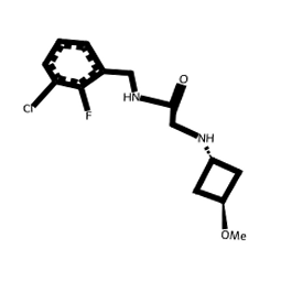 CO[C@H]1C[C@H](NCC(=O)NCc2cccc(Cl)c2F)C1